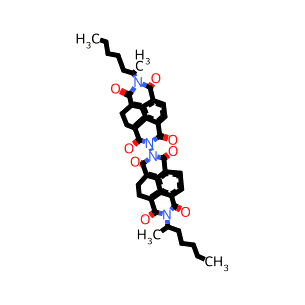 CCCCCC(C)N1C(=O)C2=c3c(ccc4c3=C(CC2)C(=O)N(N2C(=O)C3=c5c(ccc6c5=C(CC3)C(=O)N(C(C)CCCCC)C6=O)C2=O)C4=O)C1=O